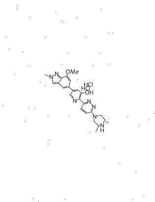 COc1cc(-c2cnc(-c3ccc(N4CC(C)N[C@@H](C)C4)nn3)c(O)c2)cc2cn(C)nc12.Cl.Cl